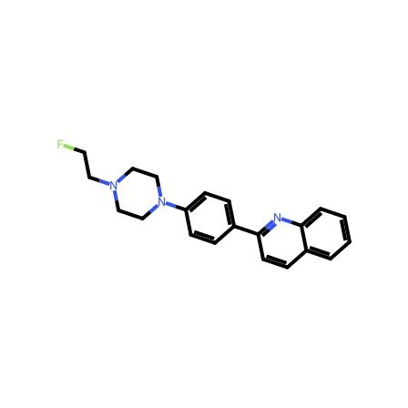 FCCN1CCN(c2ccc(-c3ccc4ccccc4n3)cc2)CC1